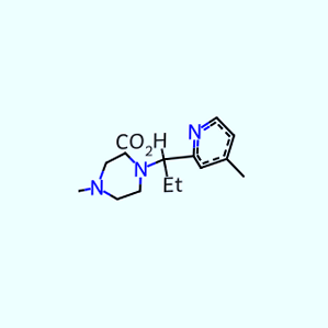 CCC(C(=O)O)(c1cc(C)ccn1)N1CCN(C)CC1